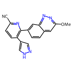 COc1cc2ccc(-c3nc(C#N)ccc3-c3cn[nH]c3)cc2nn1